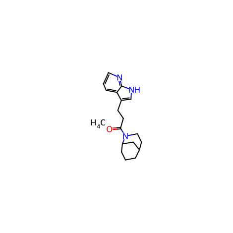 C.O=C(CCc1c[nH]c2ncccc12)N1CCC2CCCC1C2